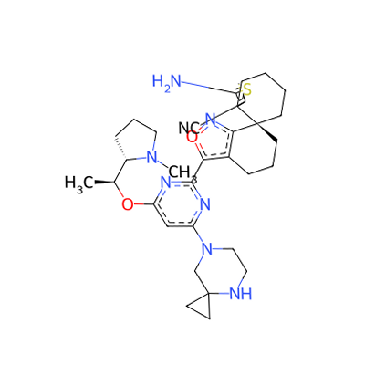 C[C@H](Oc1cc(N2CCNC3(CC3)C2)nc(-c2onc3c2CCC[C@@]32CCCc3sc(N)c(C#N)c32)n1)[C@@H]1CCCN1C